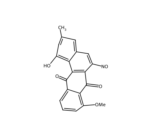 COc1cccc2c1C(=O)c1c(N=O)cc3cc(C)cc(O)c3c1C2=O